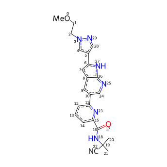 COCCn1cc(-c2cc3cc(-c4cccc(C(=O)NC(C)(C)C#N)n4)cnc3[nH]2)cn1